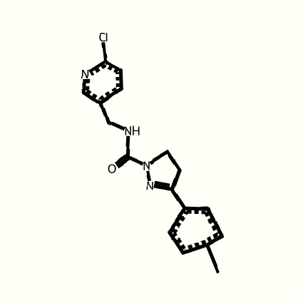 Cc1ccc(C2=NN(C(=O)NCc3ccc(Cl)nc3)CC2)cc1